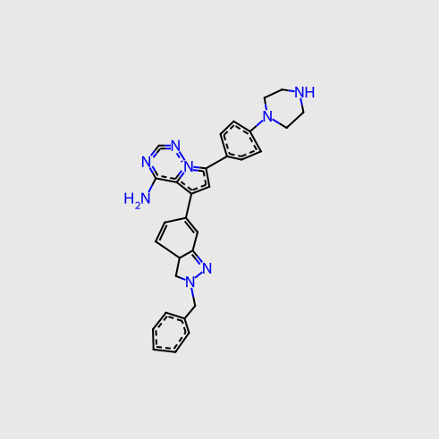 Nc1ncnn2c(-c3ccc(N4CCNCC4)cc3)cc(C3=CC4=NN(Cc5ccccc5)CC4C=C3)c12